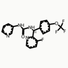 O=C(Nc1cccnc1)N[C@@H](c1ccc(OC(F)(F)F)cc1)c1ncccc1F